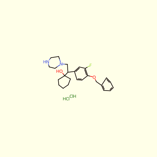 Cl.Cl.OC1(C(CN2CCNCC2)c2ccc(OCc3ccccc3)c(F)c2)CCCCC1